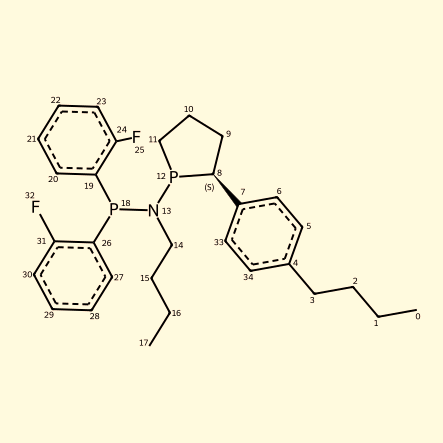 CCCCc1ccc([C@@H]2CCCP2N(CCCC)P(c2ccccc2F)c2ccccc2F)cc1